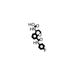 O=C(O)N[C@H]1CCOc2c(C(=O)Nc3ccc(F)cc3)cccc21